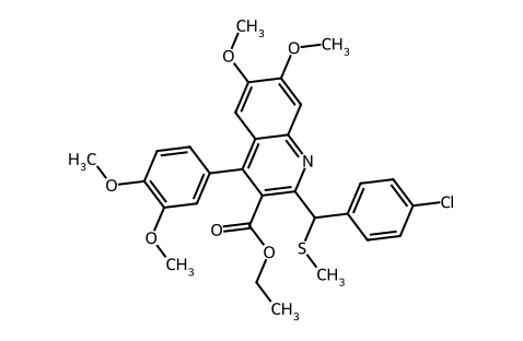 CCOC(=O)c1c(C(SC)c2ccc(Cl)cc2)nc2cc(OC)c(OC)cc2c1-c1ccc(OC)c(OC)c1